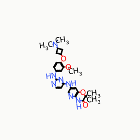 COc1cc(Nc2nccc(Nc3cnc4c(c3)OC(C)(C)C(=O)N4)n2)ccc1OC1CC(N(C)C)C1